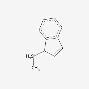 C[SiH2]C1C=Cc2ccccc21